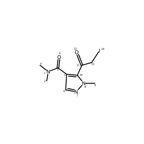 CN(C)C(=O)c1cnn(C)c1C(=O)CI